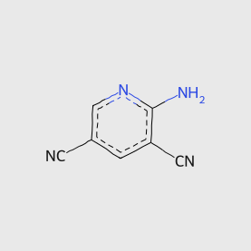 N#Cc1cnc(N)c(C#N)c1